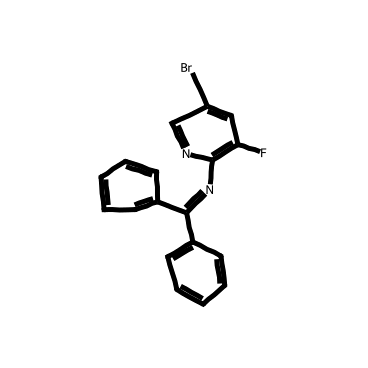 Fc1cc(Br)cnc1N=C(c1ccccc1)c1ccccc1